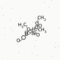 C=CCOC(=O)O[C@H](C)[C@H]1C(=O)N2CC(COc3ccc(C=O)cc3)(C(=O)OCC=C)S[C@H]12